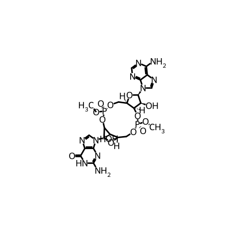 COP1(=O)OC[C@H]2O[C@@H](n3cnc4c(N)ncnc43)[C@@H](O)[C@H]2OP(=O)(OC)OC[C@H]2O[C@@H](n3cnc4c(=O)[nH]c(N)nc43)C(O1)[C@H]2O